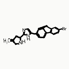 C=C1CNC(c2ncc(-c3ccc4c(c3)Cc3cc(Br)ccc3-4)[nH]2)C1